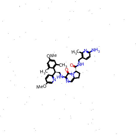 COc1ccc([C@H](CNc2ncc3n(c2=O)[C@H](C(=O)NCc2ccc(N)nc2C)CC3)c2c(C)cc(OC)cc2C)nc1